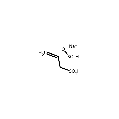 C=CCS(=O)(=O)O.O=S(=O)([O-])O.[Na+]